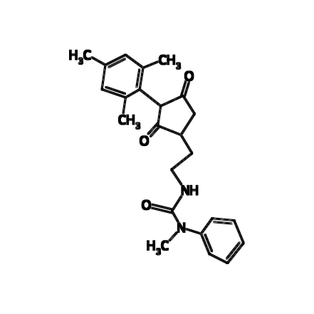 Cc1cc(C)c(C2C(=O)CC(CCNC(=O)N(C)c3ccccc3)C2=O)c(C)c1